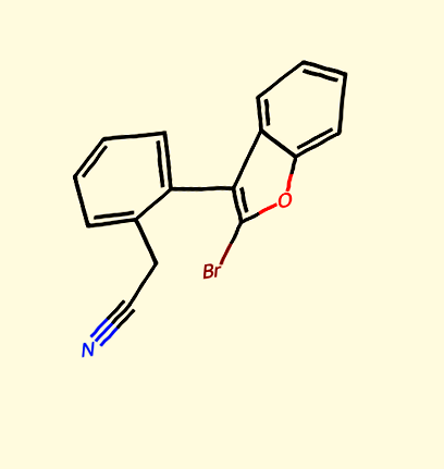 N#CCc1ccccc1-c1c(Br)oc2ccccc12